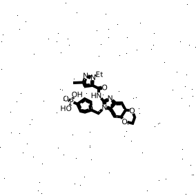 CCn1nc(C)cc1C(=O)Nc1nc2c(n1Cc1ccc(P(=O)(O)O)cc1)=CC1OCCOC1C=2